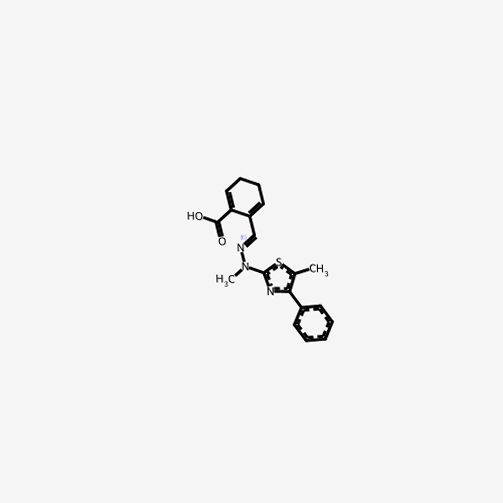 Cc1sc(N(C)/N=C/C2=CCCC=C2C(=O)O)nc1-c1ccccc1